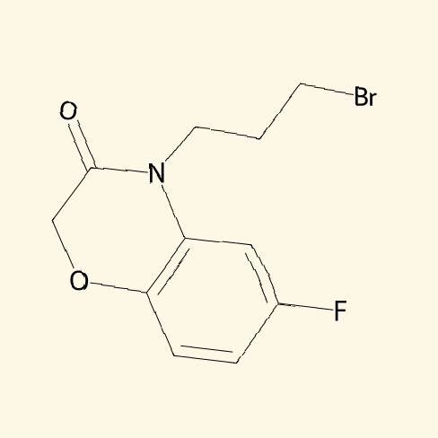 O=C1COc2ccc(F)cc2N1CCCBr